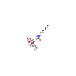 CCCCCCCCNC(=O)CC[C@H](CP(=O)(OCC)OCC)C(=O)OC(C)(C)C